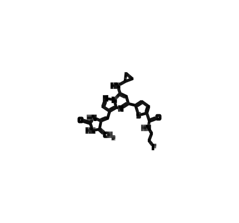 C=c1[nH]c(=O)[nH]/c1=C\c1cnn2c(NC3CC3)cc(-c3ccc(C(=O)NCCF)s3)nc12